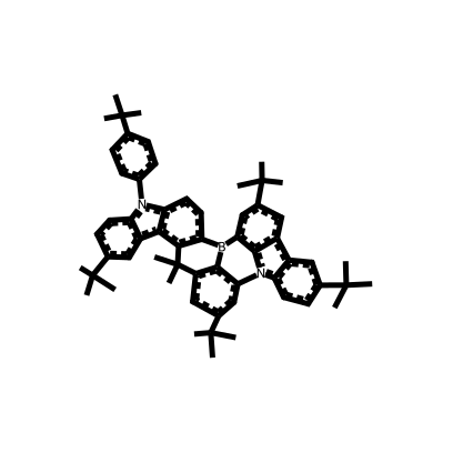 CC(C)(C)c1ccc(-n2c3ccc(C(C)(C)C)cc3c3c4c(ccc32)B2c3c(cc(C(C)(C)C)cc3C4(C)C)-n3c4ccc(C(C)(C)C)cc4c4cc(C(C)(C)C)cc2c43)cc1